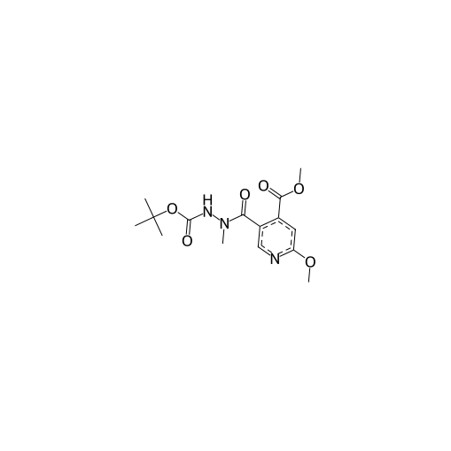 COC(=O)c1cc(OC)ncc1C(=O)N(C)NC(=O)OC(C)(C)C